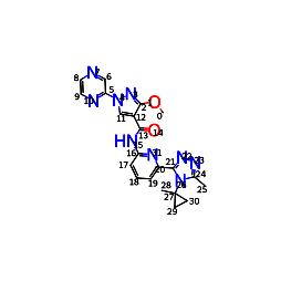 COc1nn(-c2cnccn2)cc1C(=O)Nc1cccc(-c2nnc(C)n2C2(C)CC2)n1